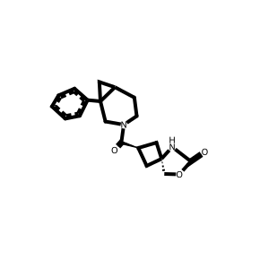 O=C1N[C@]2(CO1)C[C@H](C(=O)N1CCC3CC3(c3ccccc3)C1)C2